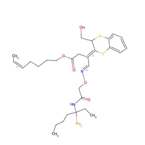 C/C=C\CCCCOC(=O)CC(/C=N/OCC(=O)NC(P)(CC)CCCC)=C1/Sc2ccccc2SC1CO